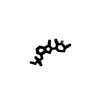 COS(=O)(=O)Cc1cccc2c1CN(C1CCC(=O)NC1=O)C2=O